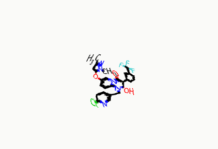 Cc1cc(Oc2ccc3n(c2)c(=O)c(-c2cccc(C(F)(F)F)c2)c(O)[n+]3Cc2ccc(Cl)nc2)n(C)n1